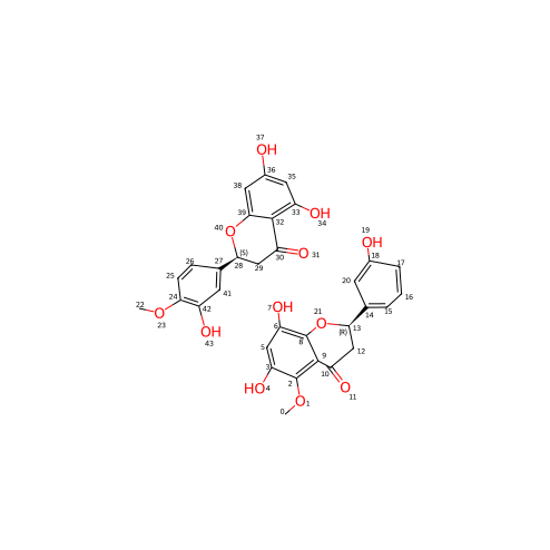 COc1c(O)cc(O)c2c1C(=O)C[C@H](c1cccc(O)c1)O2.COc1ccc([C@@H]2CC(=O)c3c(O)cc(O)cc3O2)cc1O